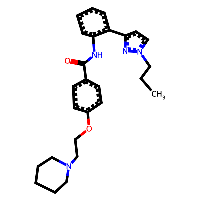 CCCn1ccc(-c2ccccc2NC(=O)c2ccc(OCCN3CCCCC3)cc2)n1